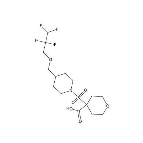 O=C(O)C1(S(=O)(=O)N2CCC(COCC(F)(F)C(F)F)CC2)CCOCC1